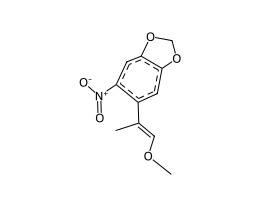 COC=C(C)c1cc2c(cc1[N+](=O)[O-])OCO2